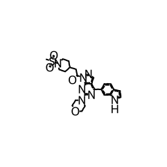 CS(=O)(=O)N1CCC(CC(=O)n2ncc3c(-c4ccc5cc[nH]c5c4)nc(N4CCOCC4)nc32)CC1